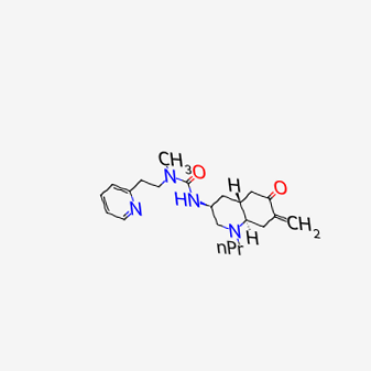 C=C1C[C@@H]2[C@@H](CC1=O)C[C@H](NC(=O)N(C)CCc1ccccn1)CN2CCC